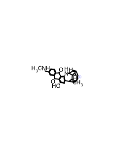 CNCc1ccc2c(c1)C(=O)c1c(O)cc3c(c1C2=O)N[C@@H]1C#C/C=C\C#CC3[C@H](C)C12CC2